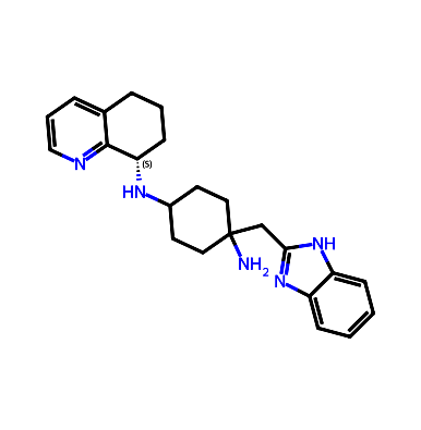 NC1(Cc2nc3ccccc3[nH]2)CCC(N[C@H]2CCCc3cccnc32)CC1